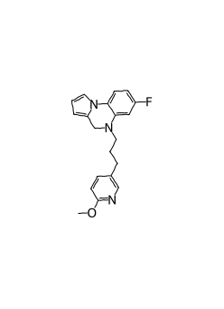 COc1ccc(CCCN2Cc3cccn3-c3ccc(F)cc32)cn1